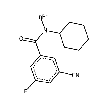 CCCN(C(=O)c1cc(F)cc(C#N)c1)C1CCCCC1